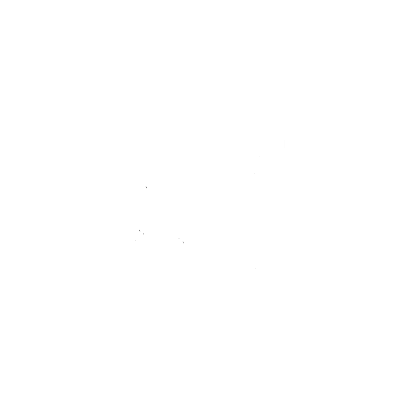 CCOc1cccc(-c2cc(C#N)c(N)nc2-c2ccco2)c1